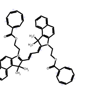 CC1(C)C(/C=C/C=C2/N(CCOC(=O)C3=C/C=C\C=C/C=C\3)c3ccc4ccccc4c3C2(C)C)=[N+](CCOC(=O)C2=C/C=C\C=C/C=C\2)c2ccc3ccccc3c21